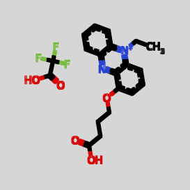 CC[n+]1c2ccccc2nc2c(OCCCC(=O)O)cccc21.O=C(O)C(F)(F)F